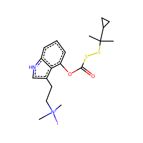 CC(C)(SSC(=O)Oc1cccc2[nH]cc(CC[N+](C)(C)I)c12)C1CC1